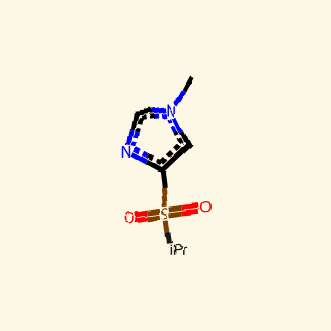 CC(C)S(=O)(=O)c1cn(C)cn1